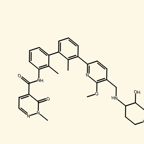 COc1nc(-c2cccc(-c3cccc(NC(=O)c4ccnn(C)c4=O)c3C)c2C)ccc1CNC1CCOCC1O